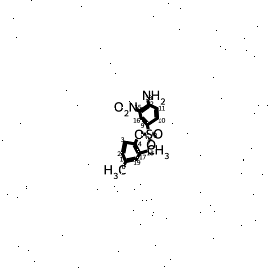 Cc1ccc(OS(=O)(=O)c2ccc(N)c([N+](=O)[O-])c2)c(C)c1